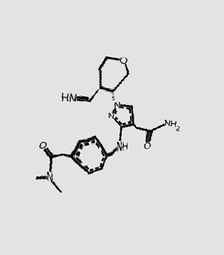 CN(C)C(=O)c1ccc(Nc2nn([C@H]3COCC[C@@H]3C=N)cc2C(N)=O)cc1